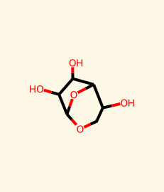 OC1COC2OC1C(O)C2O